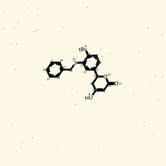 CC(C)(C)c1ccc(C2CC(O)=CC(=O)O2)cc1SCc1ccccc1